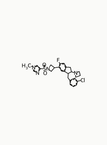 Cn1cnc(S(=O)(=O)N2CC(c3cc4c(cc3F)CC(N3CCC3)C4Cc3cccc(Cl)c3)C2)c1